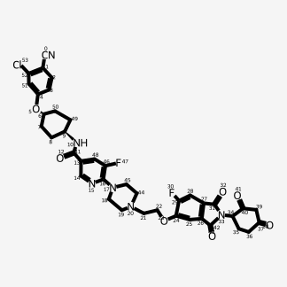 N#Cc1ccc(O[C@H]2CC[C@H](NC(=O)c3cnc(N4CCN(CCOc5cc6c(cc5F)C(=O)N(C5CCC(=O)CC5=O)C6=O)CC4)c(F)c3)CC2)cc1Cl